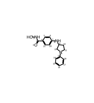 O=C(NO)c1ccc(NC2CCN(c3ccccc3)C2)cc1